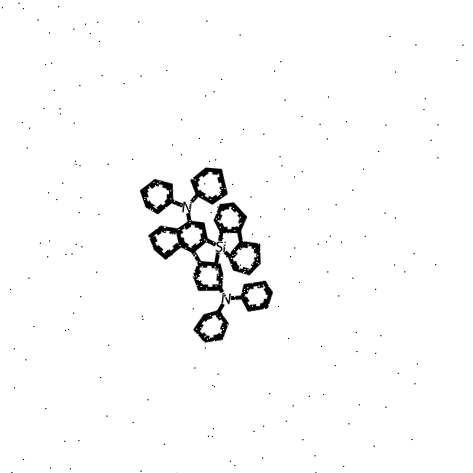 c1ccc(N(c2ccccc2)c2ccc3c(c2)[Si]2(c4ccccc4-c4ccccc42)c2cc(N(c4ccccc4)c4ccccc4)c4ccccc4c2-3)cc1